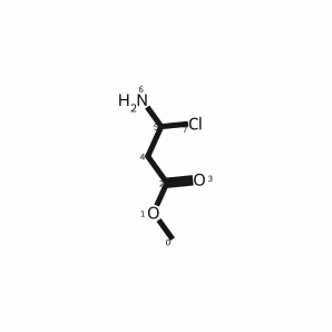 COC(=O)CC(N)Cl